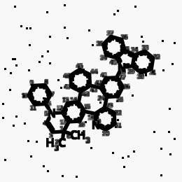 CC1(C)C=CN(c2ccccc2)c2cc3c(cc21)-c1ncccc1-c1ccc(-n2c4ccccc4c4ccccc42)cc1-c1ccccc1-3